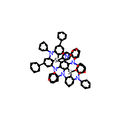 c1ccc(-c2cc3c4c(c2)N(c2ccccc2)c2c5c6c(c7c2[Si]4(c2ccccc2)c2c(cc(-c4ccccc4)cc2N7c2ccccc2)N3c2ccccc2)N(c2ccccc2)c2cccc3c2[Si]6(c2ccccc2)c2c(cccc2N5c2ccccc2)N3c2ccccc2)cc1